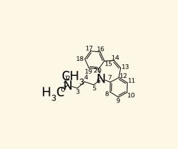 CN(C)CCCN1c2ccccc2C=Cc2ccccc21